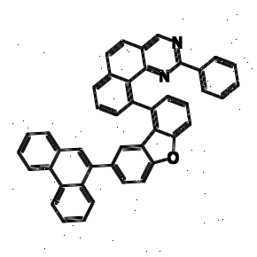 c1ccc(-c2ncc3ccc4cccc(-c5cccc6oc7ccc(-c8cc9ccccc9c9ccccc89)cc7c56)c4c3n2)cc1